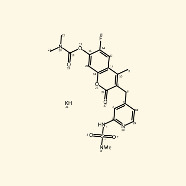 CNS(=O)(=O)Nc1cc(Cc2c(C)c3cc(F)c(OC(=O)N(C)C)cc3oc2=O)ccn1.[KH]